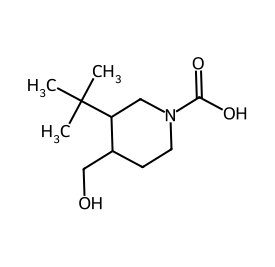 CC(C)(C)C1CN(C(=O)O)CCC1CO